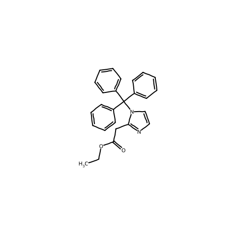 CCOC(=O)Cc1nccn1C(c1ccccc1)(c1ccccc1)c1ccccc1